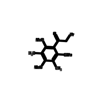 COc1c(C)c(OC)c(C(=O)CC(C)C)c(OC)c1C